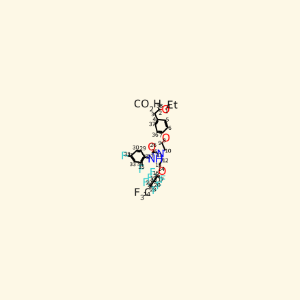 CCOC(Cc1ccc(OCCN(CCOC(F)(F)C(F)(F)C(F)(F)C(F)(F)F)C(=O)Nc2ccc(F)cc2F)cc1)C(=O)O